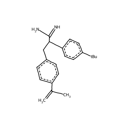 C=C(C)c1ccc(CC(C(=N)N)c2ccc(C(C)(C)C)cc2)cc1